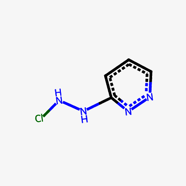 ClNNc1cccnn1